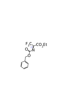 CCOC(=O)/C(=N/C(=O)OCc1ccccc1)C(F)(F)F